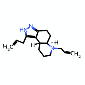 C=CCc1[nH]nc2c1[C@H]1CCCN(CC=C)[C@@H]1CC2